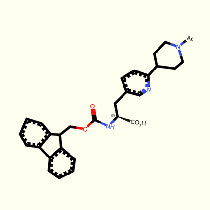 CC(=O)N1CCC(c2ccc(C[C@H](NC(=O)OCC3c4ccccc4-c4ccccc43)C(=O)O)cn2)CC1